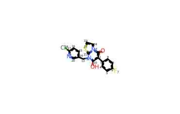 O=c1c(-c2ccc(F)cc2)c(O)n(Cc2ccc(Cl)nc2)c2scc[n+]12